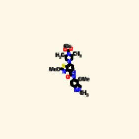 COc1nc2c(C(=O)Nc3ccc4nn(C)cc4c3OC)ccc(N3C[C@H](C)N(C(=O)OC(C)(C)C)[C@@H](C)C3)c2s1